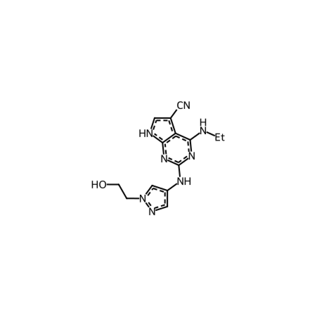 CCNc1nc(Nc2cnn(CCO)c2)nc2[nH]cc(C#N)c12